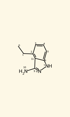 CCc1cccc2[nH]nc(N)c12